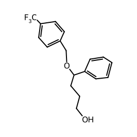 OCCCC(OCc1ccc(C(F)(F)F)cc1)c1ccccc1